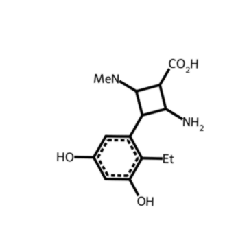 CCc1c(O)cc(O)cc1C1C(N)C(C(=O)O)C1NC